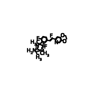 CC1(C)SC(F)(F)[C@@](C)(c2cc(/C=C(\F)c3cc4c(cn3)OCCO4)ccc2F)N=C1N